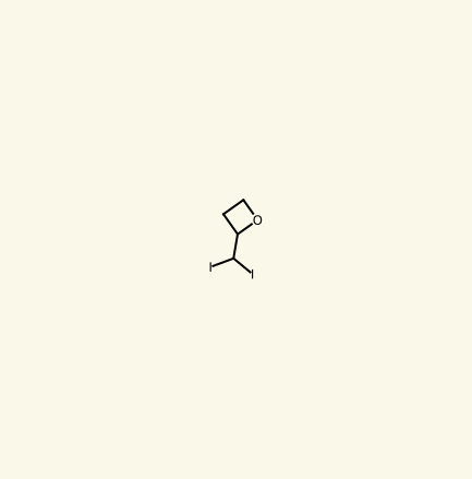 IC(I)C1CCO1